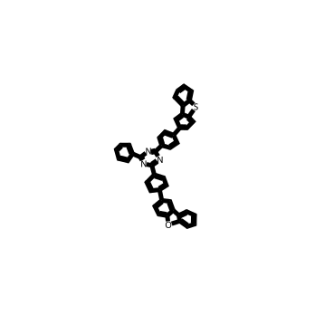 c1ccc(-c2nc(-c3ccc(-c4ccc5oc6ccccc6c5c4)cc3)nc(-c3ccc(-c4ccc5sc6ccccc6c5c4)cc3)n2)cc1